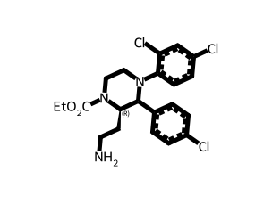 CCOC(=O)N1CCN(c2ccc(Cl)cc2Cl)C(c2ccc(Cl)cc2)[C@H]1CCN